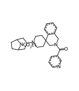 CCOC(=O)N1C2CCC1CC(N1CCC3(CC1)CN(C(=O)c1cccnc1)Cc1ccccc13)C2